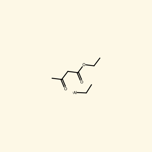 CCOC(=O)CC(C)=O.C[CH2][Al]